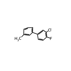 Cc1cccc(-c2ccc(F)c(Cl)c2)c1